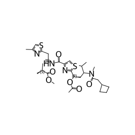 COC(=O)[C@@H](C)C[C@H](Cc1nc(C)cs1)NC(=O)c1csc([C@@H](CC(C(C)C)N(C)C(=O)CC2CCC2)OC(C)=O)n1